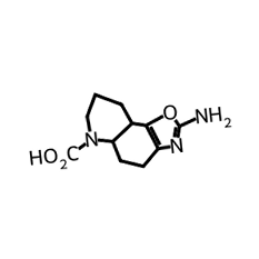 Nc1nc2c(o1)C1CCCN(C(=O)O)C1CC2